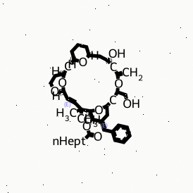 C=C1C[C@H](O)C[C@@H]2CCC[C@H](C[C@@H]3CCO[C@H](/C=C/C(C)(C)[C@]4(O)OC(C/C(=C\c5ccccc5)[C@@H]4OC(=O)CCCCCCC)CC(CO)O1)O3)O2